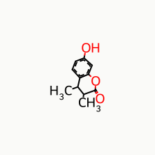 CC1C(=O)Oc2cc(O)ccc2C1C